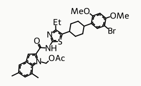 CCc1nc(NC(=O)c2cc3cc(C)cc(C)c3n2COC(C)=O)sc1C1CCC(c2cc(Br)c(OC)cc2OC)CC1